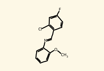 COc1ccccc1N=Cc1ccc(F)cc1Cl